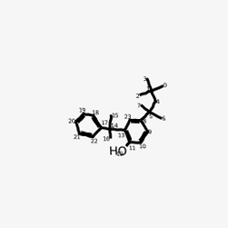 CC(C)(C)CC(C)(C)c1ccc(O)c(C(C)(C)c2ccccc2)c1